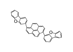 c1ccc2c(c1)oc1cc(-c3ccc4ccc5c(-c6cccc7c6oc6ccccc67)ccc6ccc3c4c65)ccc12